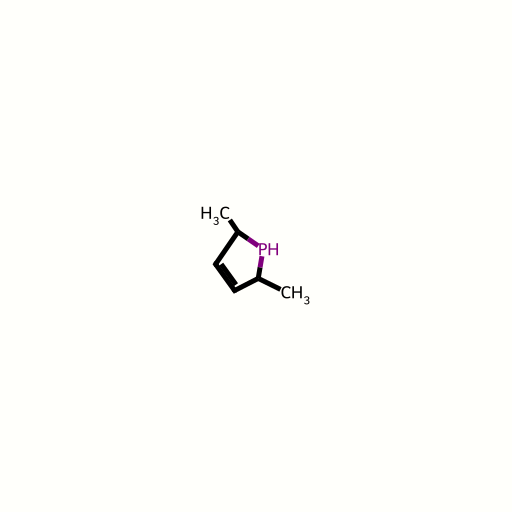 CC1C=CC(C)P1